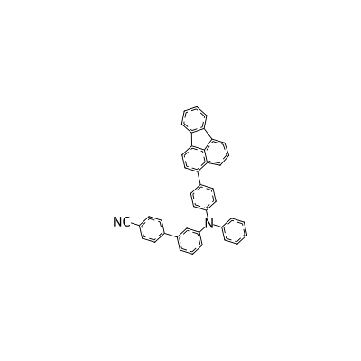 N#Cc1ccc(-c2cccc(N(c3ccccc3)c3ccc(-c4ccc5c6c(cccc46)-c4ccccc4-5)cc3)c2)cc1